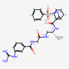 N=C(N)Nc1cccc(C(=O)NCC(=O)NC[C@H](NC(=O)C2C3CCC(CC3)N2S(=O)(=O)c2ccccc2)C(=O)O)c1